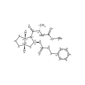 C[C@H](NC(=O)OC(C)(C)C)C(=O)N1[C@@H](OC(=O)OCc2ccccc2)C[C@@H]2CCC[C@@H]21